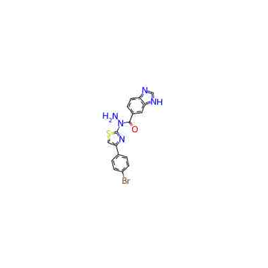 NN(C(=O)c1ccc2nc[nH]c2c1)c1nc(-c2ccc(Br)cc2)cs1